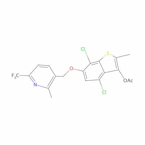 CC(=O)Oc1c(C)sc2c(Cl)c(OCc3ccc(C(F)(F)F)nc3C)cc(Cl)c12